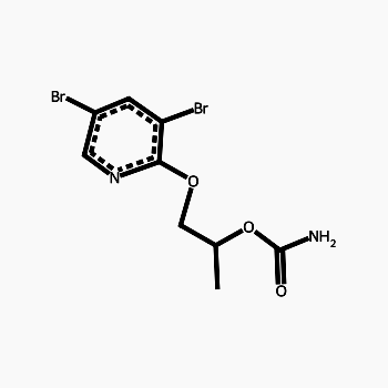 CC(COc1ncc(Br)cc1Br)OC(N)=O